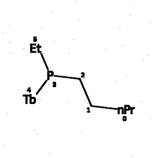 CCCCC[P]([Tb])CC